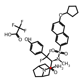 CN([C@@H](C(=O)N1C2CCC1CC(N)C2)C(F)(F)c1ccc(O)cc1)S(=O)(=O)c1ccc2cc(OC3CCCC3)ccc2c1.O=C(O)C(F)(F)F